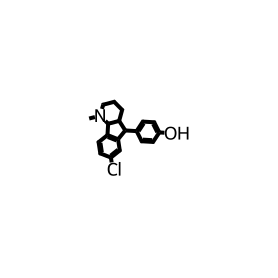 CN1CCCC2C(c3ccc(O)cc3)c3cc(Cl)ccc3C21